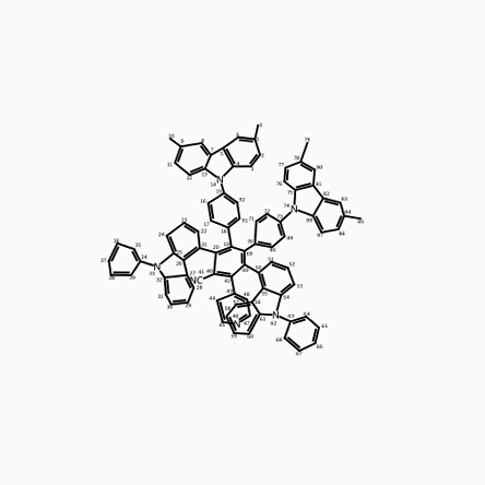 Cc1ccc2c(c1)c1cc(C)ccc1n2-c1ccc(-c2c(-c3cccc4c3c3ccccc3n4-c3ccccc3)c(C#N)c(-c3ccncc3)c(-c3cccc4c3c3ccccc3n4-c3ccccc3)c2-c2ccc(-n3c4ccc(C)cc4c4cc(C)ccc43)cc2)cc1